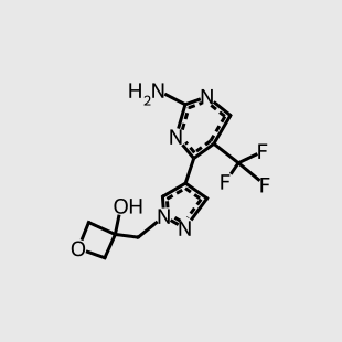 Nc1ncc(C(F)(F)F)c(-c2cnn(CC3(O)COC3)c2)n1